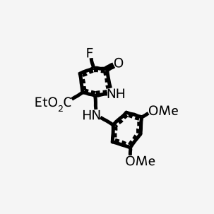 CCOC(=O)c1cc(F)c(=O)[nH]c1Nc1cc(OC)cc(OC)c1